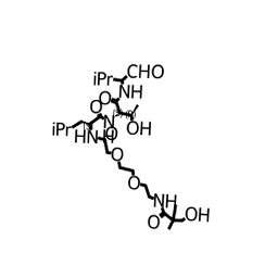 CC(C)C[C@H](NC(=O)COCCOCCNC(=O)C(C)(C)CO)C(=O)N[C@H](C(=O)NC(C=O)C(C)C)[C@@H](C)O